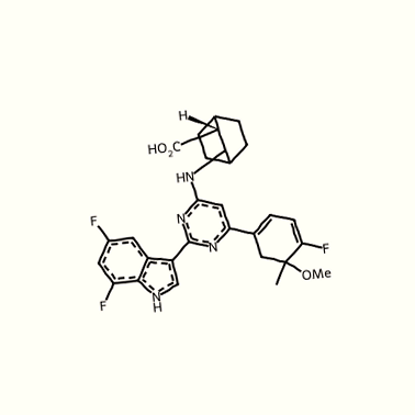 COC1(C)CC(c2cc(NC3C4CCC(CC4)[C@H]3C(=O)O)nc(-c3c[nH]c4c(F)cc(F)cc34)n2)=CC=C1F